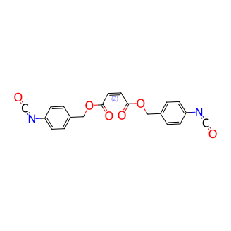 O=C=Nc1ccc(COC(=O)/C=C\C(=O)OCc2ccc(N=C=O)cc2)cc1